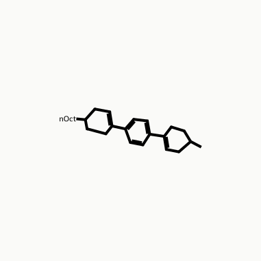 CCCCCCCCC1CC=C(c2ccc(C3=CCC(C)CC3)cc2)CC1